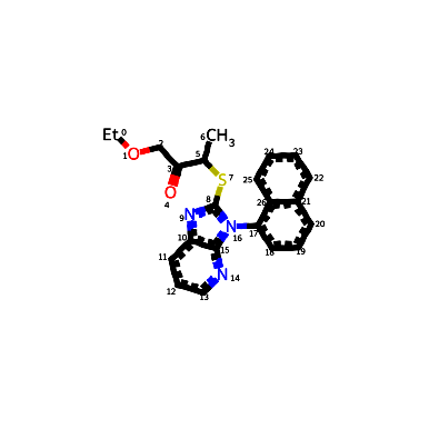 CCOCC(=O)C(C)Sc1nc2cccnc2n1-c1cccc2ccccc12